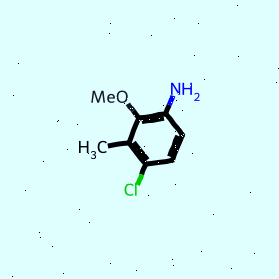 COc1c(N)ccc(Cl)c1C